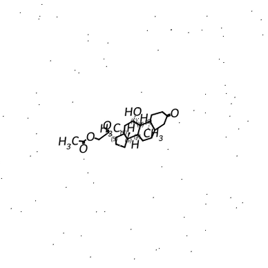 CC(=O)OCC(=O)[C@H]1CC[C@H]2[C@@H]3CCC4CC(=O)CC[C@]4(C)[C@H]3[C@@H](O)C[C@]12C